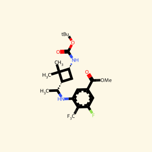 COC(=O)c1cc(F)c(C(F)(F)F)c(NC(C)[C@H]2C[C@@H](NC(=O)OC(C)(C)C)C2(C)C)c1